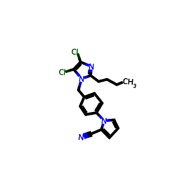 CCCCc1nc(Cl)c(Cl)n1Cc1ccc(-n2cccc2C#N)cc1